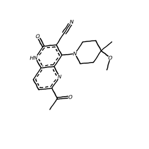 COC1(C)CCN(c2c(C#N)c(=O)[nH]c3ccc(C(C)=O)nc23)CC1